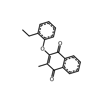 CCc1ccccc1OC1=C(C)C(=O)c2ccccc2C1=O